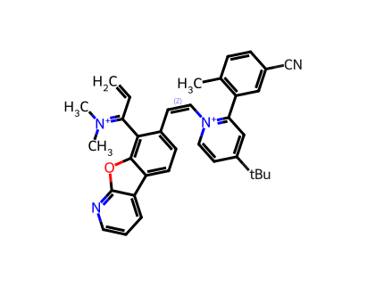 C=CC(c1c(/C=C\[n+]2ccc(C(C)(C)C)cc2-c2cc(C#N)ccc2C)ccc2c1oc1ncccc12)=[N+](C)C